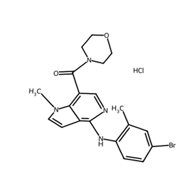 Cc1cc(Br)ccc1Nc1ncc(C(=O)N2CCOCC2)c2c1ccn2C.Cl